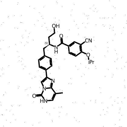 Cc1c[nH]c(=O)n2cc(-c3ccc(C[C@@H](CCO)NC(=O)c4ccc(OC(C)C)c(C#N)c4)cc3)nc12